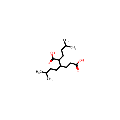 CC(C)CCC(CCC(=O)O)C(CCC(C)C)C(=O)O